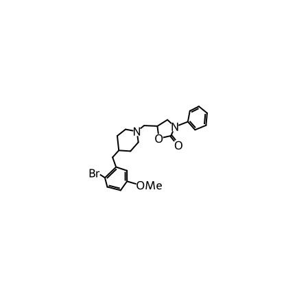 COc1ccc(Br)c(CC2CCN(CC3CN(c4ccccc4)C(=O)O3)CC2)c1